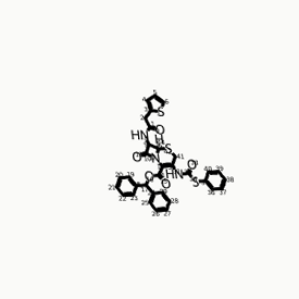 O=C(Cc1cccs1)NC1C(=O)N2C(C(=O)OC(c3ccccc3)c3ccccc3)=C(NC(=O)Sc3ccccc3)CS[C@H]12